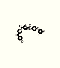 COc1ccc(C(=O)C2CCN(C(=O)c3ccc(C(=O)NC4CCC(Oc5cc(F)cc(F)c5)CC4)nc3)CC2)cc1